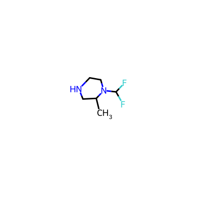 CC1CNCCN1C(F)F